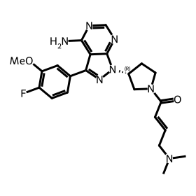 COc1cc(-c2nn([C@@H]3CCN(C(=O)C=CCN(C)C)C3)c3ncnc(N)c23)ccc1F